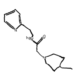 CC1CCN(CC(=O)NCc2ccccn2)CC1